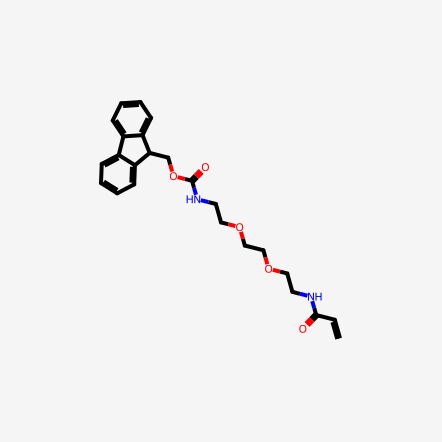 C=CC(=O)NCCOCCOCCNC(=O)OCC1c2ccccc2-c2ccccc21